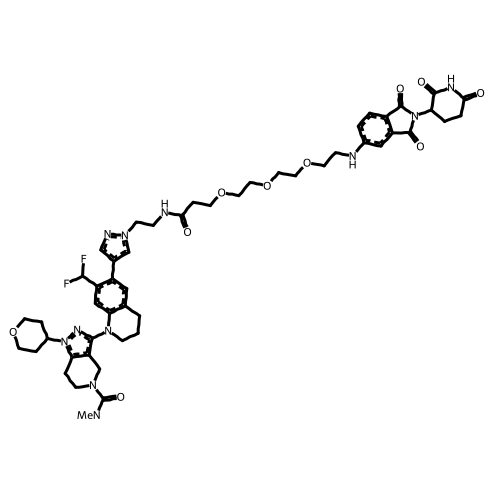 CNC(=O)N1CCc2c(c(N3CCCc4cc(-c5cnn(CCNC(=O)CCOCCOCCOCCNc6ccc7c(c6)C(=O)N(C6CCC(=O)NC6=O)C7=O)c5)c(C(F)F)cc43)nn2C2CCOCC2)C1